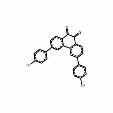 O=C1C(=O)c2ccc(-c3ccc(S)cc3)cc2-c2cc(-c3ccc(S)cc3)ccc21